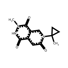 Cn1[nH]c(=O)c2cc(=O)n(C3(C)CC3)cc2c1=O